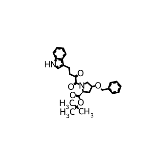 CC(C)(C)OC(=O)[C@@H]1CC(OCc2ccccc2)CN1C(=O)C(=O)CCc1c[nH]c2ccccc12